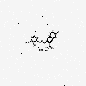 C[C@H](O)CNC(=O)c1cc2cc(F)ccc2nc1CCNc1ncnc(N)c1C#N